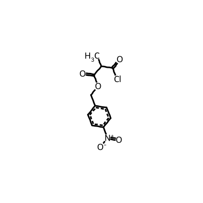 CC(C(=O)Cl)C(=O)OCc1ccc([N+](=O)[O-])cc1